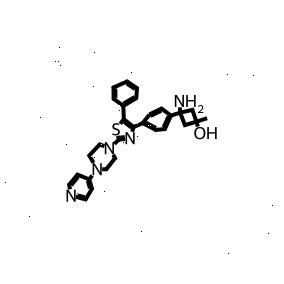 CC1(O)CC(N)(c2ccc(-c3nc(N4CCN(c5ccncc5)CC4)sc3-c3ccccc3)cc2)C1